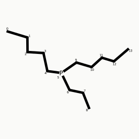 CCCCCP(CCC)CCCCC